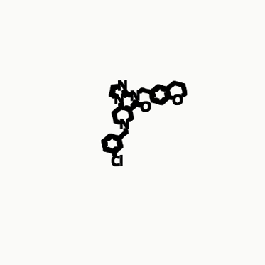 O=c1c2c(n3ccnc3n1Cc1ccc3c(c1)CCCO3)CCN(Cc1cccc(Cl)c1)C2